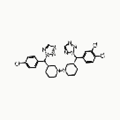 Clc1ccc(C([C@@H]2CCCN(N3CCC[C@H](C(c4ccc(Cl)c(Cl)c4)n4ncnn4)C3)C2)n2ncnn2)cc1